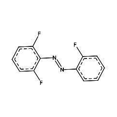 Fc1ccccc1N=Nc1c(F)cccc1F